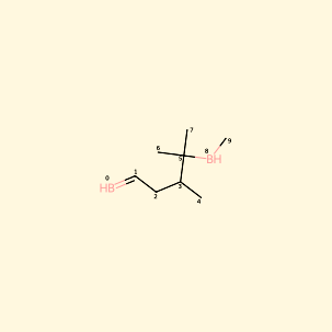 B=CCC(C)C(C)(C)BC